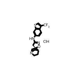 Cl.FC(F)(F)c1csc2cc(NC3=NO[C@@]4(C3)CN3CCC4CC3)ccc12